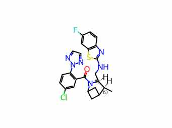 C[C@H]1C2CC(C2)N(C(=O)c2cc(Cl)ccc2-n2nccn2)[C@H]1CNc1nc2ccc(F)cc2s1